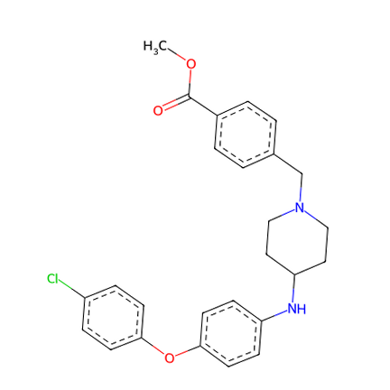 COC(=O)c1ccc(CN2CCC(Nc3ccc(Oc4ccc(Cl)cc4)cc3)CC2)cc1